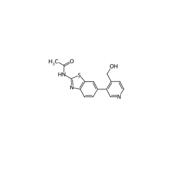 CC(=O)Nc1nc2ccc(-c3cnccc3CO)cc2s1